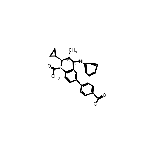 CC(=O)N1c2ccc(-c3ccc(C(=O)O)cc3)cc2[C@H](Nc2ccccc2)[C@@H](C)[C@@H]1C1CC1